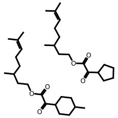 CC(C)=CCCC(C)CCOC(=O)C(=O)C1CCC(C)CC1.CC(C)=CCCC(C)CCOC(=O)C(=O)C1CCCC1